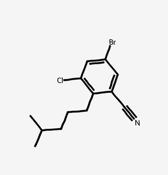 CC(C)CCCc1c(Cl)cc(Br)cc1C#N